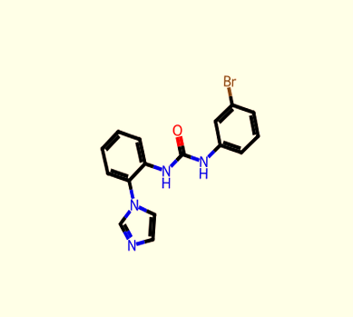 O=C(Nc1cccc(Br)c1)Nc1ccccc1-n1ccnc1